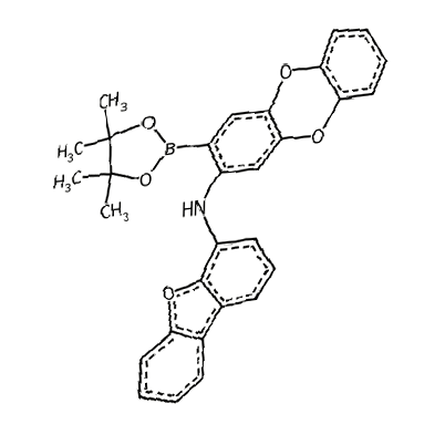 CC1(C)OB(c2cc3c(cc2Nc2cccc4c2oc2ccccc24)Oc2ccccc2O3)OC1(C)C